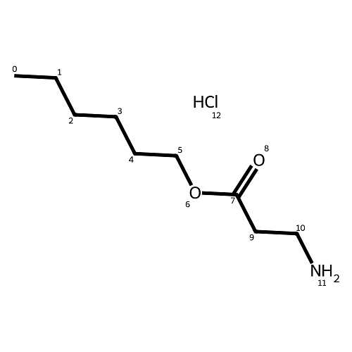 CCCCCCOC(=O)CCN.Cl